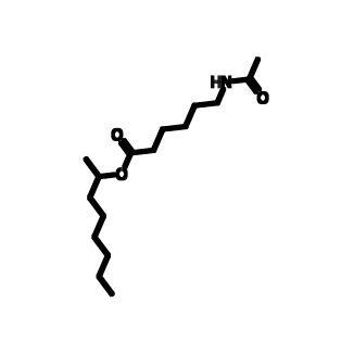 CCCCCCC(C)OC(=O)CCCCCNC(C)=O